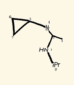 CC(C)NC(C)[N]C1CC1